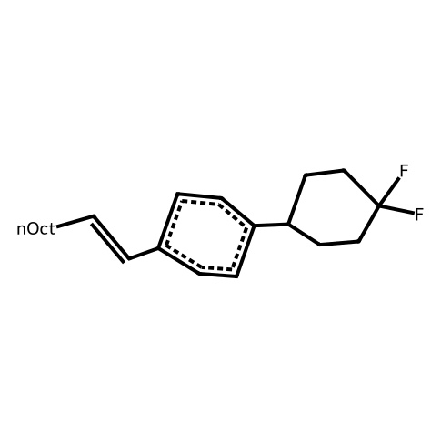 CCCCCCCCC=Cc1ccc(C2CCC(F)(F)CC2)cc1